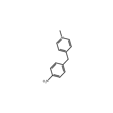 C[n+]1ccc(Cc2ccc([N+](=O)[O-])cc2)cc1